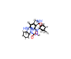 COC(=O)N[C@H]1CCCC[C@H]1Nc1nc(Nc2cccc(C)c2)c2c(c1C)CNC2=O